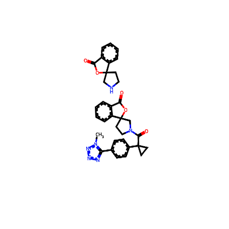 Cn1nnnc1-c1ccc(C2(C(=O)N3CCC4(C3)OC(=O)c3ccccc34)CC2)cc1.O=C1OC2(CCNC2)c2ccccc21